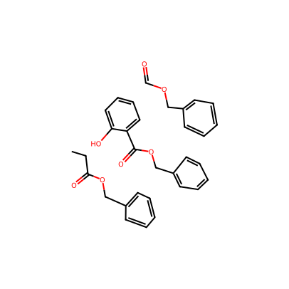 CCC(=O)OCc1ccccc1.O=C(OCc1ccccc1)c1ccccc1O.O=COCc1ccccc1